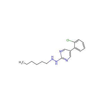 CCCCCCNNc1ncc(-c2ccccc2Cl)cn1